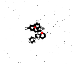 C[C@@H]1CCC[C@@H](N(CC(=O)N2CCOCC2)C2(Cc3cccc(Cl)c3)C(=O)Nc3cc(Cl)ccc32)C1